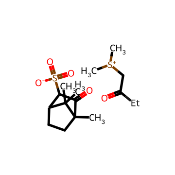 CC12CCC(C(S(=O)(=O)[O-])C1=O)C2(C)C.CCC(=O)C[S+](C)C